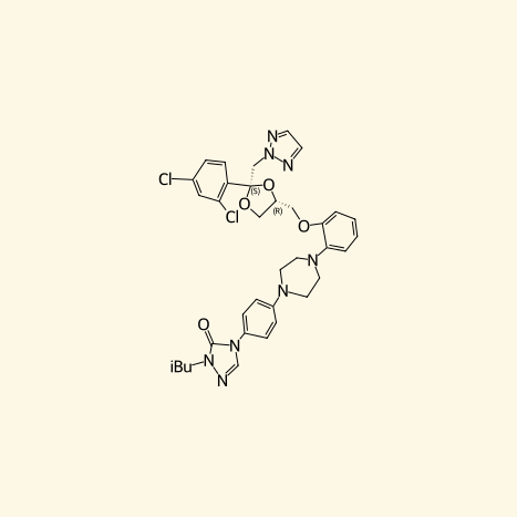 CCC(C)n1ncn(-c2ccc(N3CCN(c4ccccc4OC[C@@H]4CO[C@@](Cn5nccn5)(c5ccc(Cl)cc5Cl)O4)CC3)cc2)c1=O